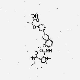 CCN(C)C(=O)c1cnn(C)c1C(=O)Nc1ccn2cc(-c3cccc(OC(C)C(=O)O)c3)nc2n1